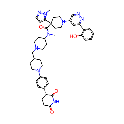 CN(C(=O)C1(c2ccnn2C)CCN(c2cnnc(-c3ccccc3O)c2)CC1)C1CCN(CC2CCN(c3ccc([C@H]4CCC(=O)NC4=O)cc3)CC2)CC1